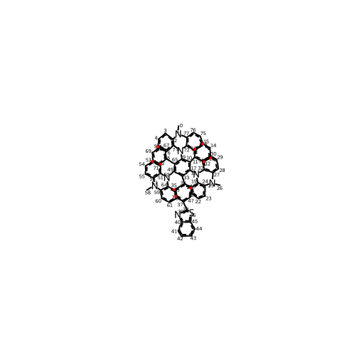 CN1c2ccccc2N(c2c(-c3ccccc3)c(N3c4ccccc4N(C)c4ccccc43)c(-c3ccc(-c4nc5ccccc5s4)cc3)c(N3c4ccccc4N(C)c4ccccc43)c2-c2ccccc2)c2ccccc21